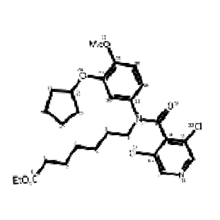 CCOC(=O)CCCCCCN(C(=O)c1c(Cl)cncc1Cl)c1ccc(OC)c(OC2CCCC2)c1